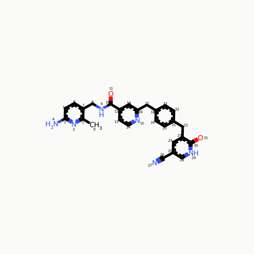 Cc1nc(N)ccc1CNC(=O)c1ccnc(Cc2ccc(Cc3cc(C#N)c[nH]c3=O)cc2)c1